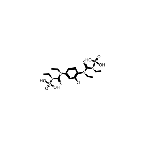 CCN(C(=S)N(CC)P(=O)(O)O)c1ccc(N(CC)C(=S)N(CC)P(=O)(O)O)c(Cl)c1